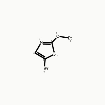 CCOc1ncc(C(C)C)s1